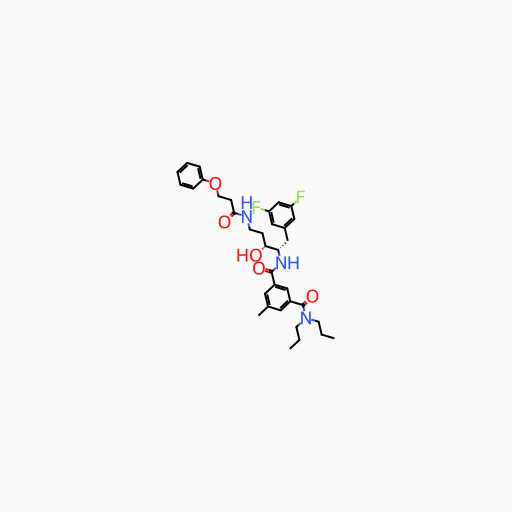 CCCN(CCC)C(=O)c1cc(C)cc(C(=O)N[C@@H](Cc2cc(F)cc(F)c2)[C@H](O)CCNC(=O)CCOc2ccccc2)c1